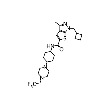 Cc1nn(CC2CCC2)c2sc(C(=O)NC3CCC(N4CCN(CC(F)(F)F)CC4)CC3)cc12